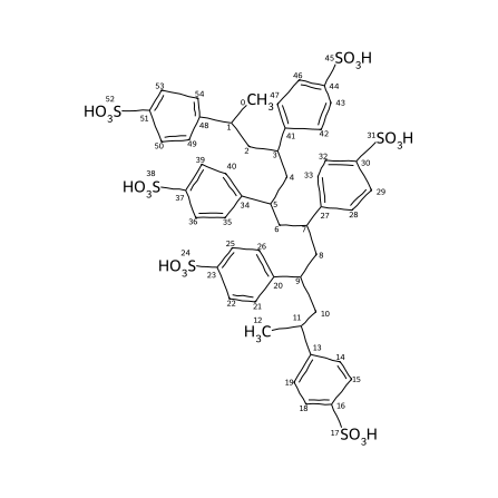 CC(CC(CC(CC(CC(CC(C)c1ccc(S(=O)(=O)O)cc1)c1ccc(S(=O)(=O)O)cc1)c1ccc(S(=O)(=O)O)cc1)c1ccc(S(=O)(=O)O)cc1)c1ccc(S(=O)(=O)O)cc1)c1ccc(S(=O)(=O)O)cc1